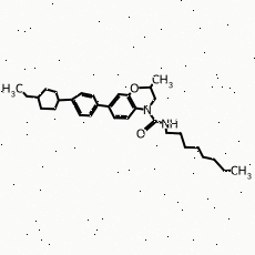 CCCCCCCCNC(=O)N1CC(C)Oc2cc(-c3ccc(C4CCC(CC)CC4)cc3)ccc21